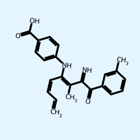 C=C/C=C\C(Nc1ccc(C(=O)O)cc1)=C(/C)C(=N)C(=O)c1cccc(C)c1